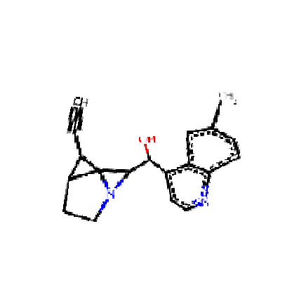 C#CC1C2CCN3C(C(O)c4ccnc5ccc(C)cc45)C123